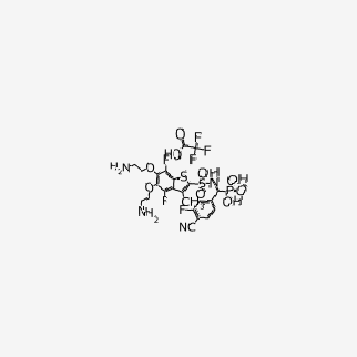 Cc1c(S(=O)(=O)NC(c2ccc(C#N)c(F)c2)P(=O)(O)O)sc2c(F)c(OCCN)c(OCCN)c(F)c12.O=C(O)C(F)(F)F